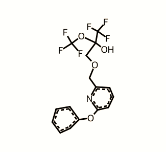 OC(COCc1cccc(Oc2ccccc2)n1)(OC(F)(F)F)C(F)(F)F